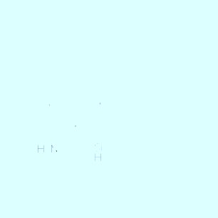 CCC[SiH2]C(N)(OCC)OCC